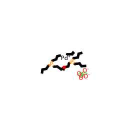 C=C[CH2][Pd+].CCCCP(CCCC)CCCC.CCCCP(CCCC)CCCC.[O-][Cl+3]([O-])([O-])[O-]